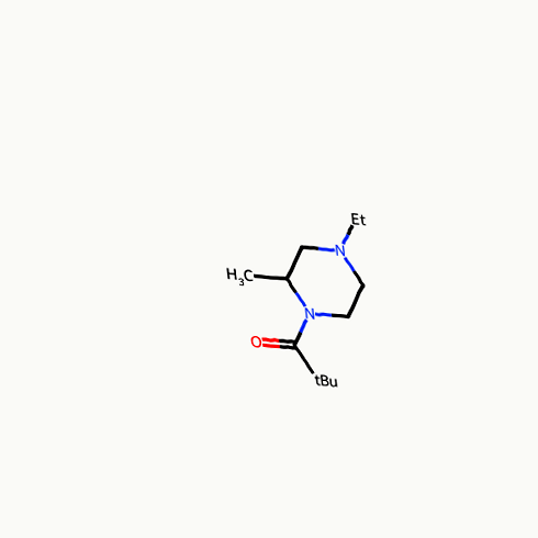 CCN1CCN(C(=O)C(C)(C)C)C(C)C1